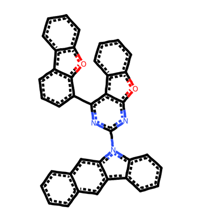 c1ccc2cc3c(cc2c1)c1ccccc1n3-c1nc(-c2cccc3c2oc2ccccc23)c2c(n1)oc1ccccc12